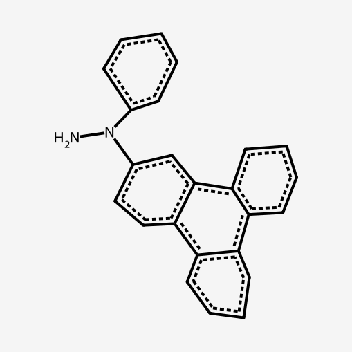 NN(c1ccccc1)c1ccc2c3ccccc3c3ccccc3c2c1